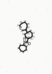 O=C(NC1CCCCCC1)C1CCCCC(C2CCCCCCC2)CC1